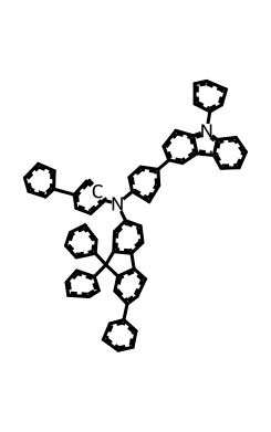 c1ccc(-c2ccc(N(c3ccc(-c4ccc5c(c4)c4ccccc4n5-c4ccccc4)cc3)c3ccc4c(c3)C(c3ccccc3)(c3ccccc3)c3cc(-c5ccccc5)ccc3-4)cc2)cc1